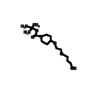 CC(C)(C)OC(=O)N1CCC(OCCOCCCO)CC1